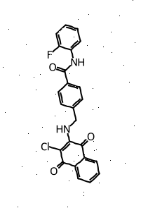 O=C(Nc1ccccc1F)c1ccc(CNC2=C(Cl)C(=O)c3ccccc3C2=O)cc1